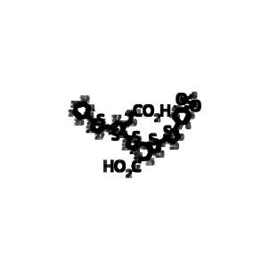 CS(=O)(=O)c1ccc(-c2ccc(-c3cc(CCC(=O)O)c(-c4ccc(-c5sc(-c6ccc(-c7ccccc7)s6)cc5CCC(=O)O)s4)s3)s2)cc1